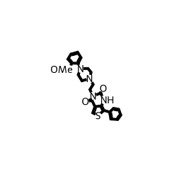 COc1ccccc1N1CCN(CCn2c(=O)[nH]c3c(-c4ccccc4)scc3c2=O)CC1